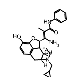 C/C(C(=O)Nc1ccccc1)=C(/N)[C@@H]1Oc2c(O)ccc3c2[C@@]12CCN(CC1CC1)[C@H](C3)[C@@]2(C)O